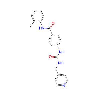 Cc1ccccc1NC(=O)c1ccc(NC(=O)NCc2ccncc2)cc1